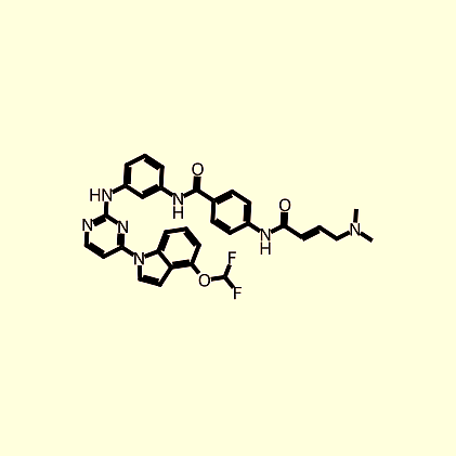 CN(C)C/C=C/C(=O)Nc1ccc(C(=O)Nc2cccc(Nc3nccc(-n4ccc5c(OC(F)F)cccc54)n3)c2)cc1